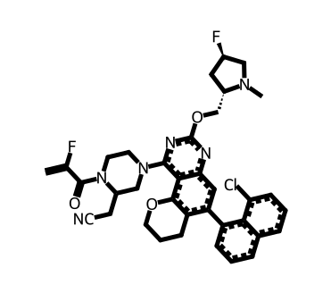 C=C(F)C(=O)N1CCN(c2nc(OC[C@@H]3C[C@@H](F)CN3C)nc3cc(-c4cccc5cccc(Cl)c45)c4c(c23)OCCC4)CC1CC#N